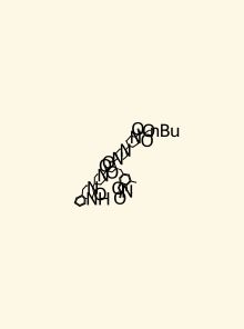 CCCCOC(=O)C(=O)N1CCC(N2CCN(C(=O)[C@@H](Cc3cc(C)c4c(c3)oc(=O)n4C)OC(=O)N3CCC(N4CCc5ccccc5NC4=O)CC3)CC2)CC1